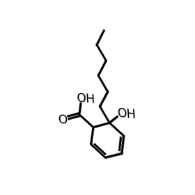 CCCCCCC1(O)C=CC=CC1C(=O)O